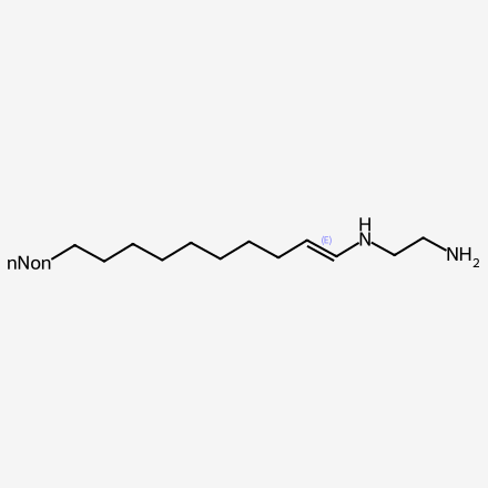 CCCCCCCCCCCCCCCCC/C=C/NCCN